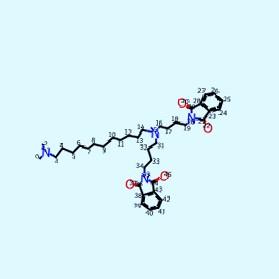 CN(C)CCCCCCCCCCCCN(CCCCN1C(=O)c2ccccc2C1=O)CCCCN1C(=O)c2ccccc2C1=O